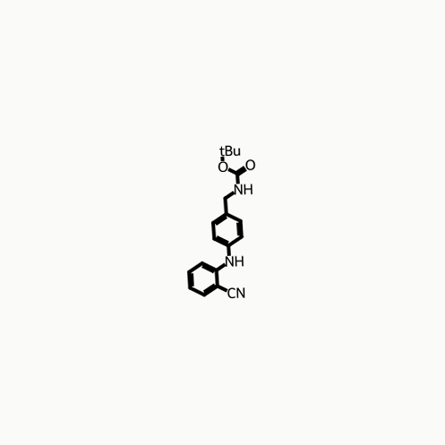 CC(C)(C)OC(=O)NCc1ccc(Nc2ccccc2C#N)cc1